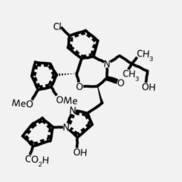 COc1cccc([C@H]2O[C@H](Cc3cc(O)n(-c4cccc(C(=O)O)c4)n3)C(=O)N(CC(C)(C)CO)c3ccc(Cl)cc32)c1OC